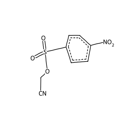 N#CCOS(=O)(=O)c1ccc([N+](=O)[O-])cc1